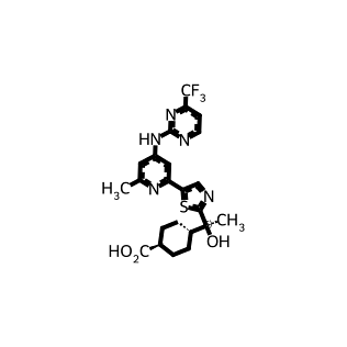 Cc1cc(Nc2nccc(C(F)(F)F)n2)cc(-c2cnc([C@@](C)(O)[C@H]3CC[C@H](C(=O)O)CC3)s2)n1